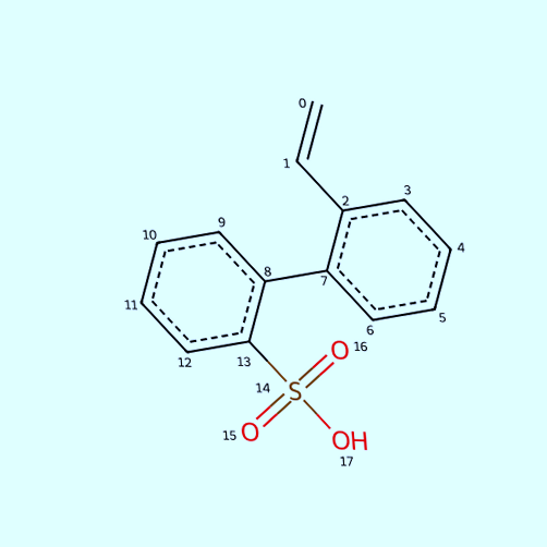 C=Cc1ccccc1-c1ccccc1S(=O)(=O)O